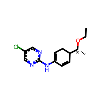 CCO[C@H](C)C1C=CC(Nc2ncc(Cl)cn2)=CC1